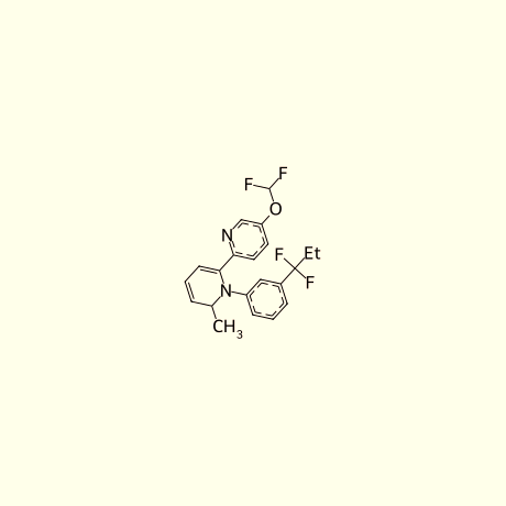 CCC(F)(F)c1cccc(N2C(c3ccc(OC(F)F)cn3)=CC=CC2C)c1